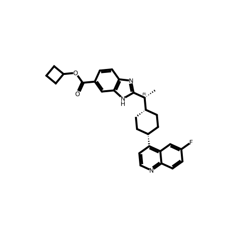 C[C@@H](c1nc2ccc(C(=O)OC3CCC3)cc2[nH]1)[C@H]1CC[C@@H](c2ccnc3ccc(F)cc32)CC1